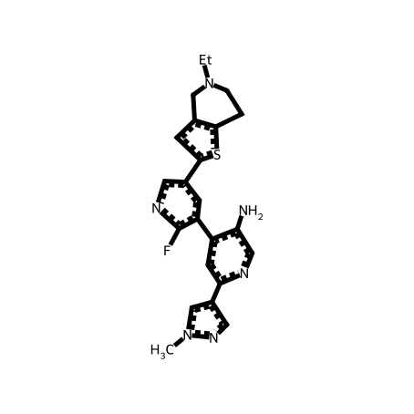 CCN1CCc2sc(-c3cnc(F)c(-c4cc(-c5cnn(C)c5)ncc4N)c3)cc2C1